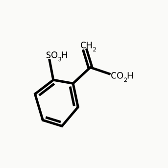 C=C(C(=O)O)c1ccccc1S(=O)(=O)O